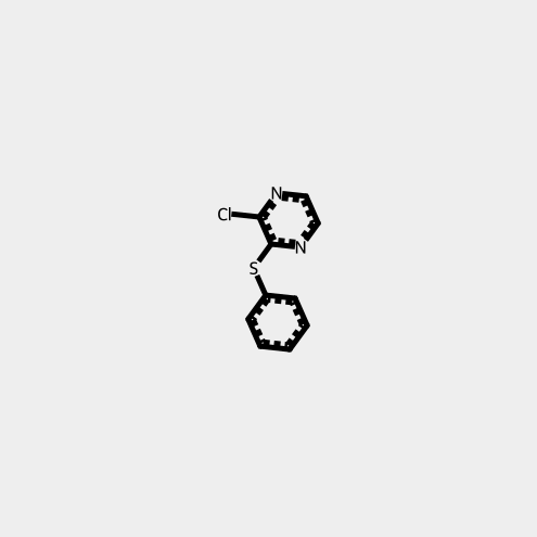 Clc1nccnc1Sc1ccccc1